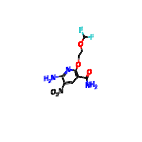 NC(=O)c1cc([N+](=O)[O-])c(N)nc1OCCOC(F)F